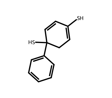 SC1=CCC(S)(c2ccccc2)C=C1